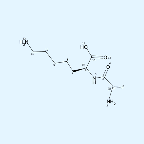 C[C@H](N)C(=O)N[C@@H](CCCCCN)C(=O)O